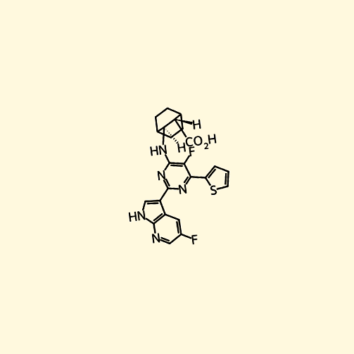 O=C(O)[C@H]1C2CCC(CC2)[C@@H]1Nc1nc(-c2c[nH]c3ncc(F)cc23)nc(-c2cccs2)c1F